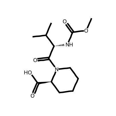 COC(=O)N[C@H](C(=O)N1CCCC[C@H]1C(=O)O)C(C)C